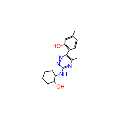 Cc1ccc(-c2nnc(NC3CCCCC3O)nc2C)c(O)c1